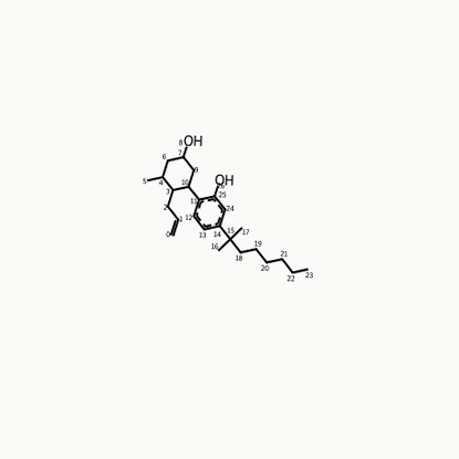 C=CCC1C(C)CC(O)CC1c1ccc(C(C)(C)CCCCCC)cc1O